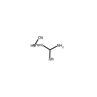 CCCCCC(N)CCC.N#CS